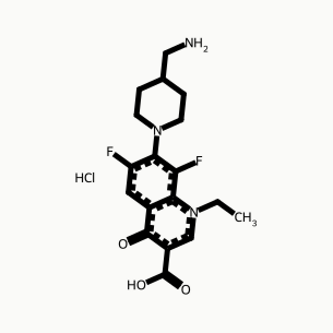 CCn1cc(C(=O)O)c(=O)c2cc(F)c(N3CCC(CN)CC3)c(F)c21.Cl